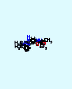 Cc1cc(C(=O)NC2CCC(Nc3nc4c(c(N(C)C)n3)CCCC4)CC2)c(C(F)(F)F)o1